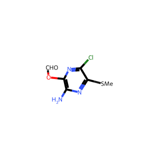 CSc1nc(N)c(OC=O)nc1Cl